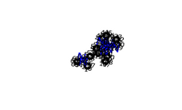 c1ccc(-n2c(-c3ccc(-c4cc5c6c7ccccc7ccc6n(-c6nc(-c7nccc8ccccc78)nc(-c7nccc8ccccc78)n6)c5c5ccccc45)cc3)nc3ccccc32)cc1